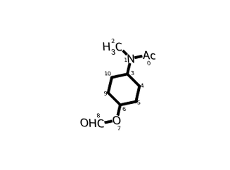 CC(=O)N(C)C1CCC(OC=O)CC1